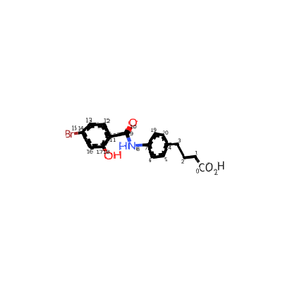 O=C(O)CCCc1ccc(NC(=O)c2ccc(Br)cc2O)cc1